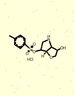 Cc1ccc(S(=O)(=O)OC2CNC3C(O)CO[C@H]23)cc1.Cl